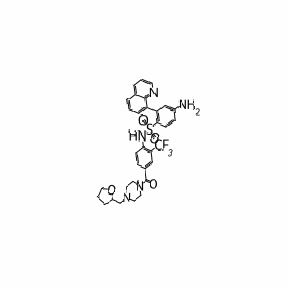 Nc1ccc(S(=O)(=O)Nc2ccc(C(=O)N3CCN(CC4CCCO4)CC3)cc2C(F)(F)F)c(-c2cccc3cccnc23)c1